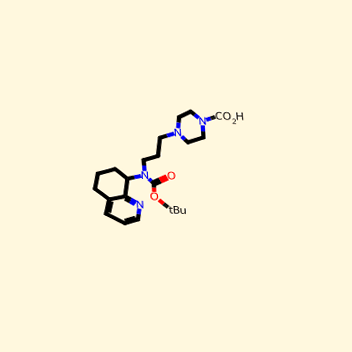 CC(C)(C)OC(=O)N(CCCN1CCN(C(=O)O)CC1)C1CCCc2cccnc21